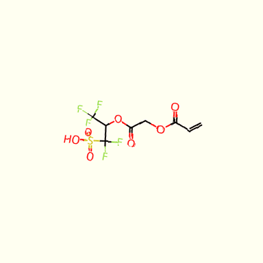 C=CC(=O)OCC(=O)OC(C(F)(F)F)C(F)(F)S(=O)(=O)O